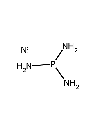 NP(N)N.[N]